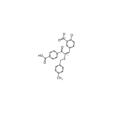 Cc1ccc(CS/C(=C/c2ccc(Cl)c([N+](=O)[O-])c2)C(=O)c2ccc(C(=O)O)cc2)cc1